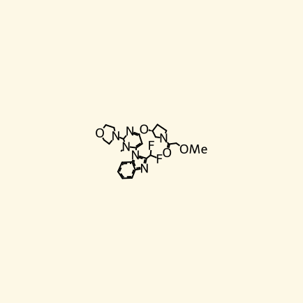 COCC(=O)N1CC[C@H](OC2=NC(N3CCOCC3)N(C)C(n3c(C(F)F)nc4ccccc43)=C2)C1